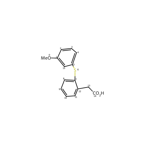 COc1cccc(Sc2ccccc2CC(=O)O)c1